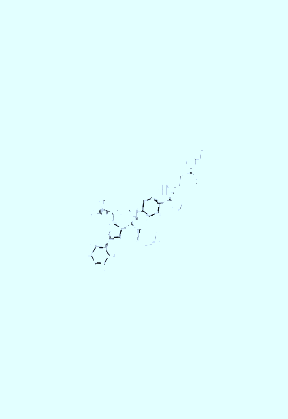 CCOC(=O)CCNC(=O)c1ccc(NC(c2cc(-c3ccccc3)oc2C[S+](C)[O-])C2CCCCC2)cc1